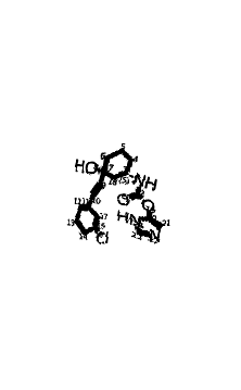 O=C(N[C@H]1CCC[C@@](O)(C#Cc2cccc(Cl)c2)C1)Oc1cnc[nH]1